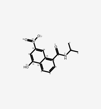 CC(C)NC(=O)c1cccc2c(O)cc([N+](=O)[O-])cc12